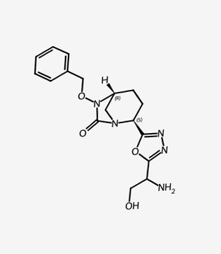 NC(CO)c1nnc([C@@H]2CC[C@@H]3CN2C(=O)N3OCc2ccccc2)o1